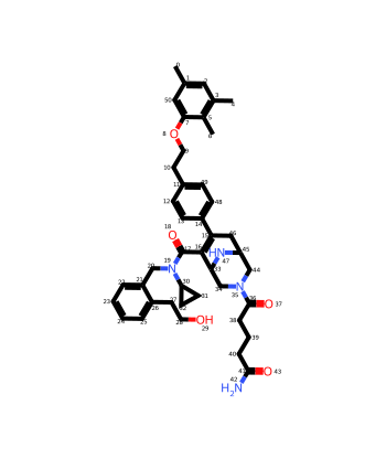 Cc1cc(C)c(C)c(OCCc2ccc(C3=C(C(=O)N(Cc4ccccc4CCO)C4CC4)C4CN(C(=O)CCCC(N)=O)CC(C3)N4)cc2)c1